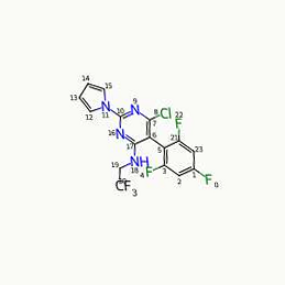 Fc1cc(F)c(-c2c(Cl)nc(-n3cccc3)nc2NCC(F)(F)F)c(F)c1